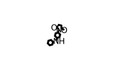 O=C1C=CC(=O)N1c1ccc(Nc2ccccc2)cc1